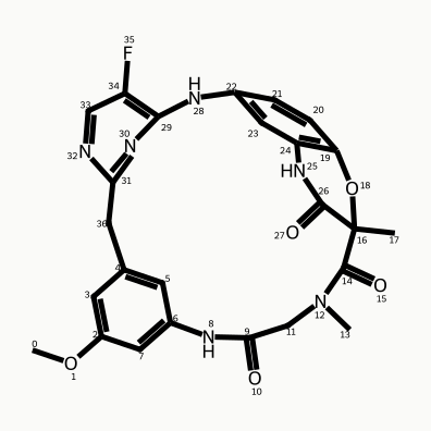 COc1cc2cc(c1)NC(=O)CN(C)C(=O)C1(C)Oc3ccc(cc3NC1=O)Nc1nc(ncc1F)C2